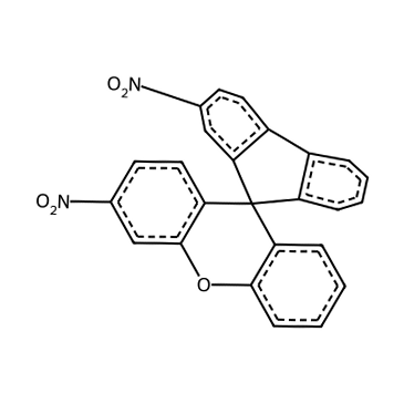 O=[N+]([O-])c1ccc2c(c1)Oc1ccccc1C21c2ccccc2-c2ccc([N+](=O)[O-])cc21